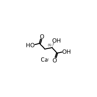 O=C(O)C[C@H](O)C(=O)O.[Ca]